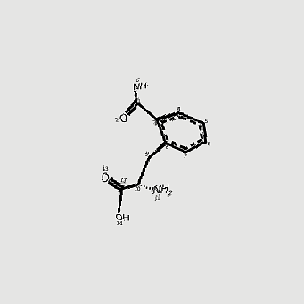 [NH]C(=O)c1ccccc1C[C@H](N)C(=O)O